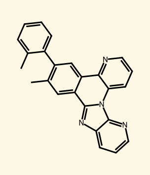 Cc1ccccc1-c1cc2c(cc1C)c1nc3cccnc3n1c1cccnc21